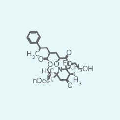 CCCCCCCCCCCCOC(=O)C(CC(ON1C(C)(CC)CC(=O)C(C)C1(C)CC)C(=O)OCCO)CC(C)c1ccccc1